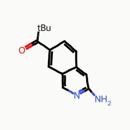 CC(C)(C)C(=O)c1ccc2cc(N)ncc2c1